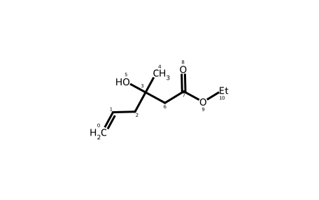 C=CCC(C)(O)CC(=O)OCC